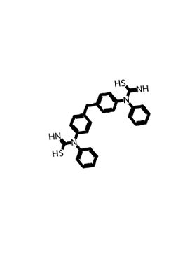 N=C(S)N(c1ccccc1)c1ccc(Cc2ccc(N(C(=N)S)c3ccccc3)cc2)cc1